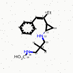 CCC(=Cc1ccccc1)C1C[C@@H]1NCC(C)(C)CNC(=O)O